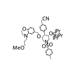 COCCCN1CCOc2ccc(CO[C@H]3CN(S(=O)(=O)c4ccc(C)cc4)C[C@@H](O[Si](C(C)C)(C(C)C)C(C)C)[C@@H]3c3ccc(CC#N)cc3)cc21